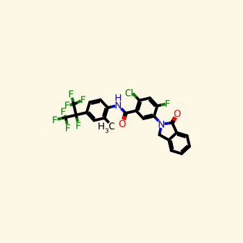 Cc1cc(C(F)(C(F)(F)F)C(F)(F)F)ccc1NC(=O)c1cc(N2Cc3ccccc3C2=O)c(F)cc1Cl